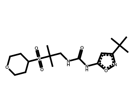 CC(C)(C)c1cc(NC(=O)NCC(C)(C)S(=O)(=O)C2CCOCC2)on1